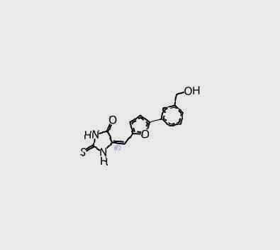 O=C1NC(=S)N/C1=C/c1ccc(-c2cccc(CO)c2)o1